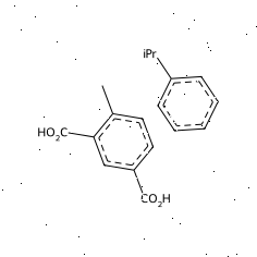 CC(C)c1ccccc1.Cc1ccc(C(=O)O)cc1C(=O)O